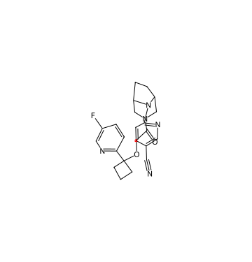 N#Cc1ccc(N2C3CCC2CN(C(=O)COC2(c4ccc(F)cn4)CCC2)C3)nc1